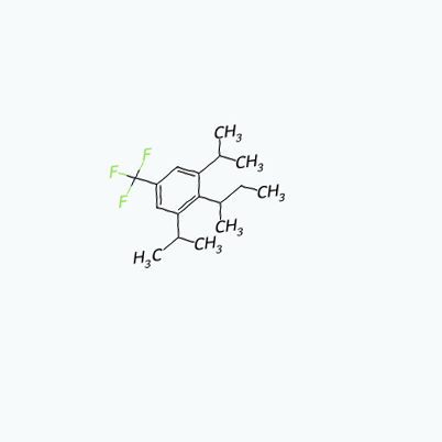 CCC(C)c1c(C(C)C)cc(C(F)(F)F)cc1C(C)C